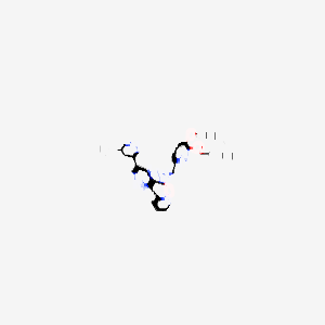 CCOc1nc(CNC(=O)c2cc(-c3cncc(C)c3)cnc2-c2ccccn2)ccc1OC